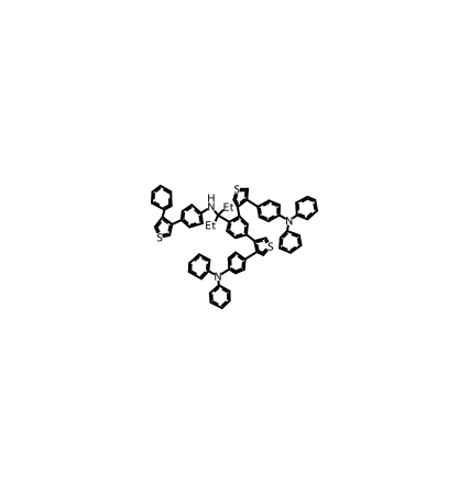 CCC(CC)(Nc1ccc(-c2cscc2-c2ccccc2)cc1)c1ccc(-c2cscc2-c2ccc(N(c3ccccc3)c3ccccc3)cc2)cc1-c1cscc1-c1ccc(N(c2ccccc2)c2ccccc2)cc1